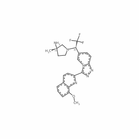 COc1cccc2ccc(-c3nnc4ccc([C@@H](N5CC[C@](C)(N)C5)C(F)(F)F)cn34)nc12